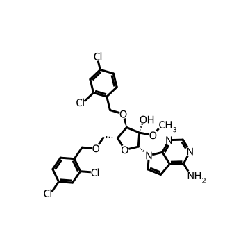 CO[C@]1(O)[C@H](OCc2ccc(Cl)cc2Cl)[C@@H](COCc2ccc(Cl)cc2Cl)O[C@H]1n1ccc2c(N)ncnc21